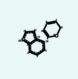 C1=CCOC=C1.c1ccc2sccc2c1